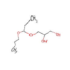 CCCOC(CC)OCC(O)CO